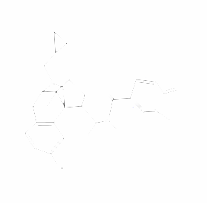 CN/N=C(\C=C/C=O)C(=O)N(C)C(C)C1CCC2(C)C3Cc4ccc(O)cc4C12CCN3CC1CC1